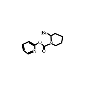 CC(C)(C)C1CCCCN1C(=O)Oc1ccccn1